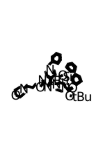 CC(C)(C)OC(=O)N1CCN(c2nc(OCCCN3CCOCC3)nc3c2CCN(Cc2ccccc2)C3)[C@H](CO[Si](c2ccccc2)(c2ccccc2)C(C)(C)C)C1